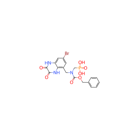 O=C(OCc1ccccc1)N(Cc1cc(Br)cc2[nH]c(=O)c(=O)[nH]c12)CP(=O)(O)O